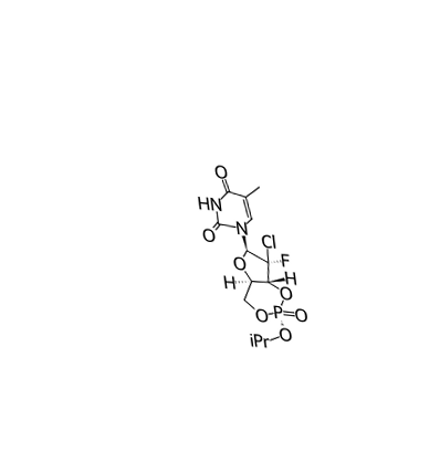 Cc1cn([C@@H]2O[C@@H]3CO[P@@](=O)(OC(C)C)O[C@H]3[C@]2(F)Cl)c(=O)[nH]c1=O